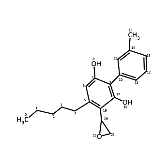 CCCCCc1cc(O)c(-c2cccc(C)c2)c(O)c1C1CO1